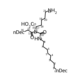 CCCCCCCCCCCCCCCCCCNC(=O)N(C(=O)CCCCCCCCCCC)[C@@H](CCCCN)C(=O)O